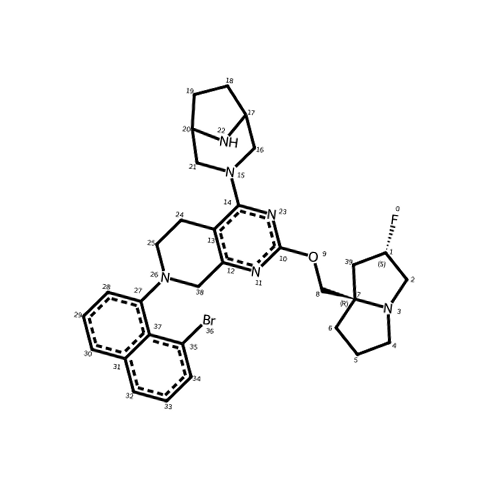 F[C@@H]1CN2CCC[C@]2(COc2nc3c(c(N4CC5CCC(C4)N5)n2)CCN(c2cccc4cccc(Br)c24)C3)C1